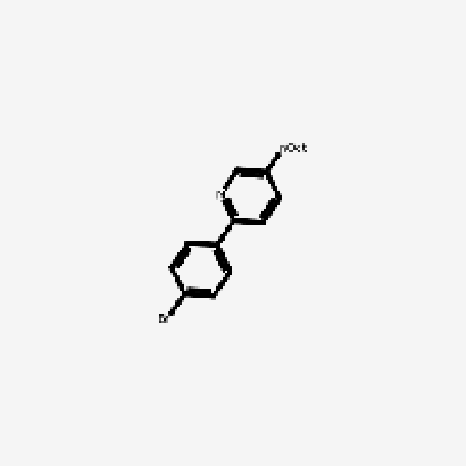 CCCCCCCCc1ccc(-c2ccc(Br)cc2)nc1